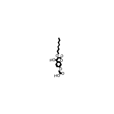 CCCCCCCCOc1c(O)c2ccc(OCC(=O)O)cc2oc1=O